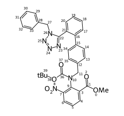 COC(=O)c1cccc([N+](=O)[O-])c1N(Cc1ccc(-c2ccccc2-c2nnnn2Cc2ccccc2)cc1)C(=O)OC(C)(C)C